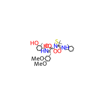 COc1ccc(C[C@H](NC(=O)c2cccc(O)c2C)[C@H](O)C(=O)N2CSC(C)(C)[C@H]2C(=O)NCc2ccccc2C)cc1OC